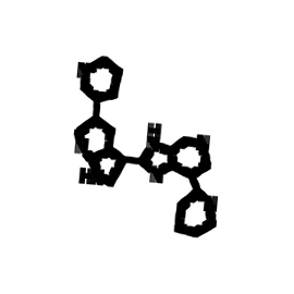 c1ccc(-c2cncc3[nH]c(-c4c[nH]c5ncc(-c6cccnc6)cc45)nc23)nc1